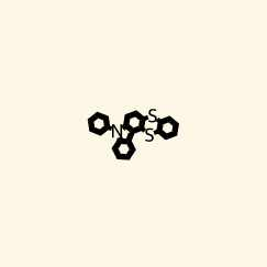 c1ccc(-n2c3ccccc3c3c4c(ccc32)Sc2ccccc2S4)cc1